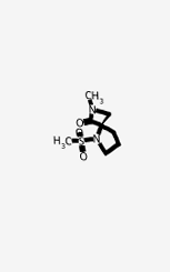 CN1C[C@]2(CCCN2S(C)(=O)=O)C1=O